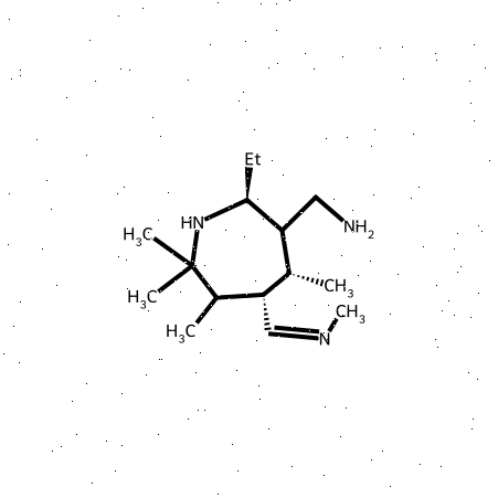 CC[C@@H]1NC(C)(C)C(C)[C@@H](/C=N\C)[C@@H](C)C1CN